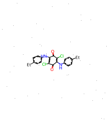 CCc1ccc(NC2=C(Cl)C(=O)C(Nc3ccc(CC)cc3)=C(Cl)C2=O)cc1